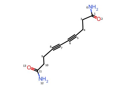 NC(=O)CCC#CC#CCCC(N)=O